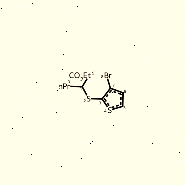 CCCC(Sc1sccc1Br)C(=O)OCC